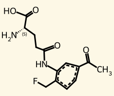 CC(=O)c1ccc(CF)c(NC(=O)CC[C@H](N)C(=O)O)c1